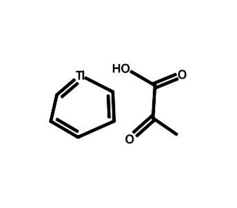 C1=C[CH]=[Tl][CH]=C1.CC(=O)C(=O)O